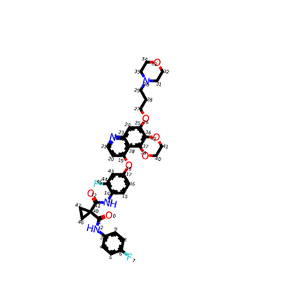 O=C(Nc1ccc(F)cc1)C1(C(=O)Nc2ccc(Oc3ccnc4cc(OCCCN5CCOCC5)c5c(c34)OCCO5)cc2F)CC1